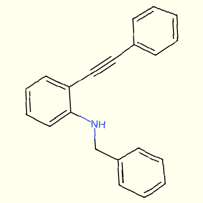 C(#Cc1ccccc1NCc1ccccc1)c1ccccc1